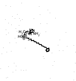 C[C@H](Cn1cnc2c(N)ncnc21)OCP(=O)(O)OCCSCCCCCCCCCCCCCc1ccccc1